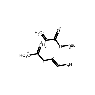 C=C(CC=CC#N)C(=O)O.C=CC(=O)OCCCC